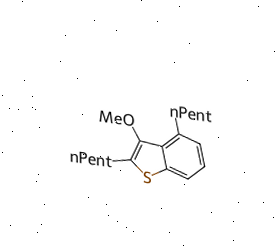 CCCCCc1sc2cccc(CCCCC)c2c1OC